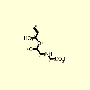 C=CC(O)OC(=O)CNCC(=O)O